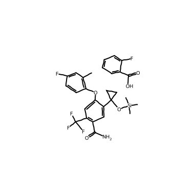 Cc1cc(F)ccc1Oc1cc(C(F)(F)F)c(C(N)=O)cc1C1(O[Si](C)(C)C)CC1.O=C(O)c1ccccc1F